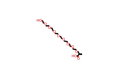 C=C(COCCOCCOCCOCCOCCOCCOCCOCCO)C(=O)O